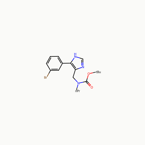 CCCN(Cc1nc[nH]c1-c1cccc(Br)c1)C(=O)OC(C)(C)C